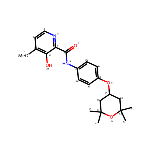 COc1ccnc(C(=O)Nc2ccc(OC3CC(C)(C)OC(C)(C)C3)cc2)c1O